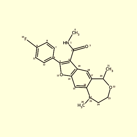 CNC(=O)c1c(-c2ccc(F)cc2)oc2cc3c(cc12)C(C)OCCN3C